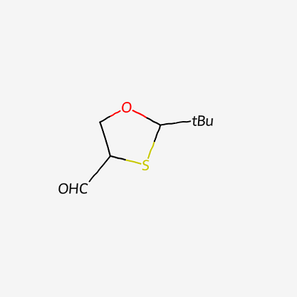 CC(C)(C)C1OCC(C=O)S1